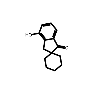 O=C1c2cccc(O)c2CC12CCCCC2